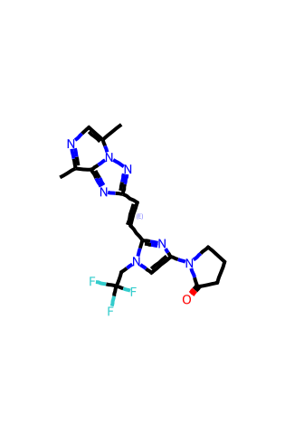 Cc1ncc(C)n2nc(/C=C/c3nc(N4CCCC4=O)cn3CC(F)(F)F)nc12